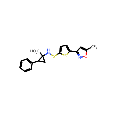 O=C(O)C1(NSc2ccc(-c3cc(C(F)(F)F)on3)s2)CC1c1ccccc1